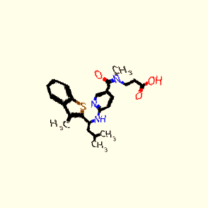 Cc1c(C(CC(C)C)Nc2ccc(C(=O)N(C)CCC(=O)O)cn2)sc2ccccc12